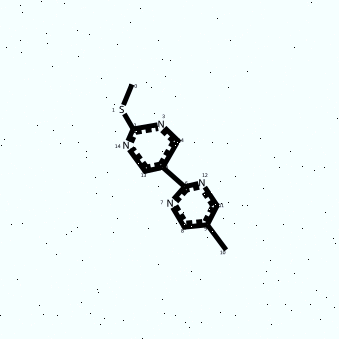 CSc1ncc(-c2ncc(C)cn2)cn1